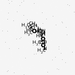 C=Nc1cccc(Oc2ccc(Nc3ncnc4cnc(N5CCC(C)(NC(=O)OC(C)(C)C)CC5)nc34)cc2OC)c1